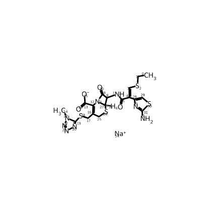 CCSC=C(C(=O)NC1C(=O)N2C(C(=O)[O-])=C(CSc3nnnn3C)CS[C@@H]12)c1csc(N)n1.[Na+]